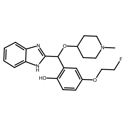 CN1CCC(OC(c2nc3ccccc3[nH]2)c2cc(OCCF)ccc2O)CC1